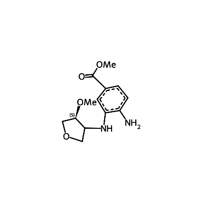 COC(=O)c1ccc(N)c(NC2COC[C@H]2OC)c1